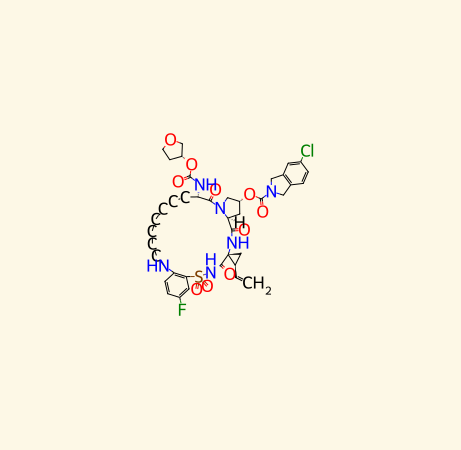 C=C[C@@H]1C[C@@]12NC(=O)[C@@H]1C[C@@H](OC(=O)N3Cc4ccc(Cl)cc4C3)CN1C(=O)[C@@H](NC(=O)O[C@@H]1CCOC1)CCCCCCCNc1ccc(F)cc1S(=O)(=O)NC2=O